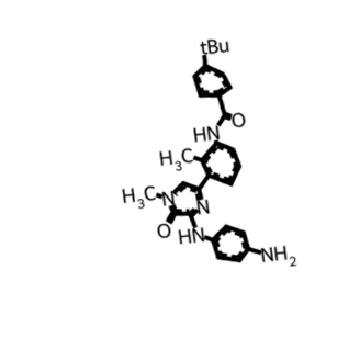 Cc1c(NC(=O)c2ccc(C(C)(C)C)cc2)cccc1-c1cn(C)c(=O)c(Nc2ccc(N)cc2)n1